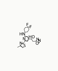 Cc1csc(-c2cc(C(O)Cc3nnco3)cc(NC3CCC(F)(F)CC3)n2)n1